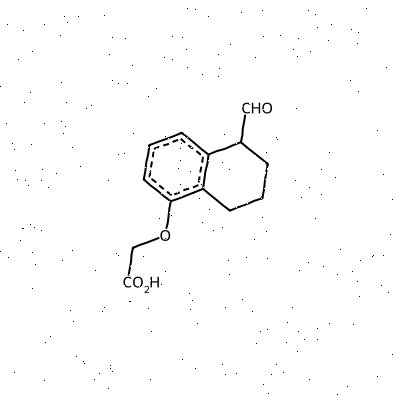 O=CC1CCCc2c(OCC(=O)O)cccc21